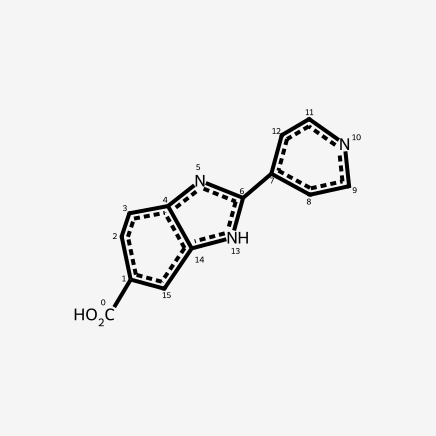 O=C(O)c1ccc2nc(-c3ccncc3)[nH]c2c1